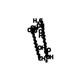 CCCCCCC(O)CCCCCCCCCC(OCCO)C(=O)O.CCCCCCC(O)CCCCCCCCCCC(=O)OCCO